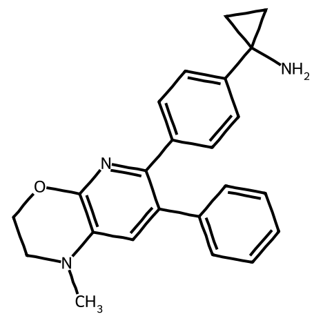 CN1CCOc2nc(-c3ccc(C4(N)CC4)cc3)c(-c3ccccc3)cc21